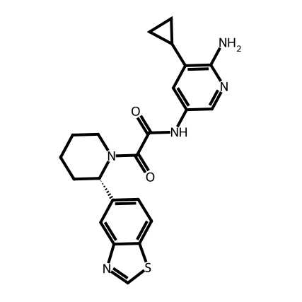 Nc1ncc(NC(=O)C(=O)N2CCCC[C@H]2c2ccc3scnc3c2)cc1C1CC1